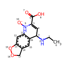 CCNC1C=C(C(=O)O)[NH+]([O-])c2cc3c(cc21)COO3